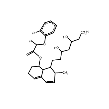 CCC(Oc1ccccc1C(C)C)C(=O)OC1CCC=C2C=CC(C)C(CCC(O)CC(O)CC(=O)O)C21